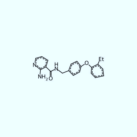 CCc1ccccc1Oc1ccc(CNC(=O)c2cccnc2N)cc1